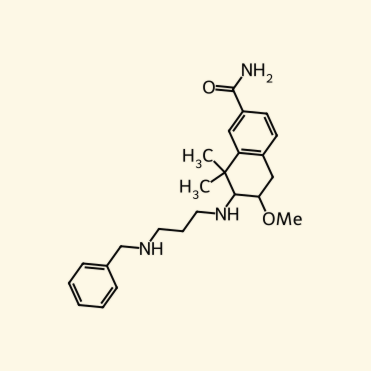 COC1Cc2ccc(C(N)=O)cc2C(C)(C)C1NCCCNCc1ccccc1